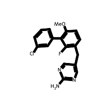 COc1ccc(Cc2cnc(N)nc2)c(F)c1-c1cccc(Cl)c1